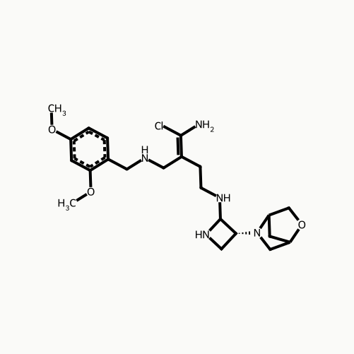 COc1ccc(CNC/C(CCNC2NC[C@H]2N2CC3CC2CO3)=C(/N)Cl)c(OC)c1